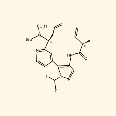 C=CC[C@@H](c1cc(-c2c(NC(=O)[C@H](C)C=C)cnn2C(F)F)ccn1)N(C(=O)O)C(C)(C)C